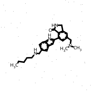 CCCCCNCc1ccc2[nH]c(-c3cc(CN(C)C)cc4c3C(=O)NC4)cc2c1